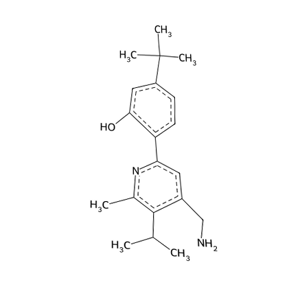 Cc1nc(-c2ccc(C(C)(C)C)cc2O)cc(CN)c1C(C)C